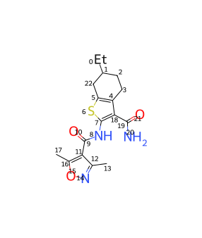 CCC1CCc2c(sc(NC(=O)c3c(C)noc3C)c2C(N)=O)C1